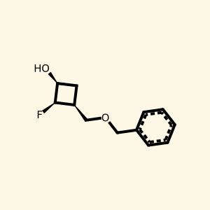 O[C@H]1C[C@@H](COCc2ccccc2)[C@H]1F